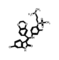 CN(C)CCN(c1ccc(N/C(=C2\C(=O)Nc3cc(Cl)ccc32)c2ccc3c(c2)OCCO3)cc1F)S(C)(=O)=O